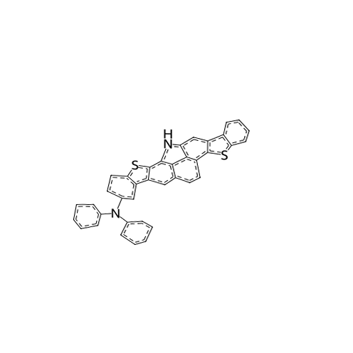 c1ccc(N(c2ccccc2)c2ccc3sc4c(cc5ccc6c7sc8ccccc8c7cc7[nH]c4c5c76)c3c2)cc1